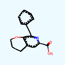 O=C(O)c1cc2c(c(-c3ccccc3)n1)OCCC2